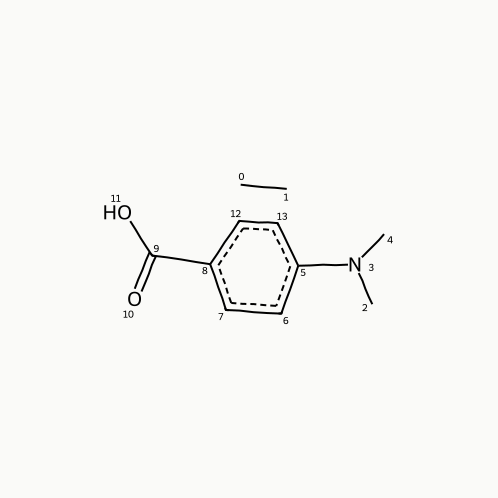 CC.CN(C)c1ccc(C(=O)O)cc1